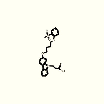 CS(=O)(=O)c1ccccc1OCCCCOc1ccc2c3ccccc3n(CCC(=O)O)c2c1